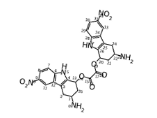 NC1Cc2c([nH]c3ccc([N+](=O)[O-])cc23)C(OC(=O)C(=O)OC2CC(N)Cc3c2[nH]c2ccc([N+](=O)[O-])cc32)C1